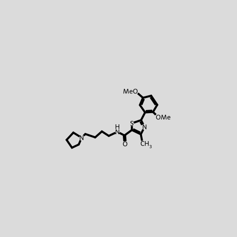 COc1ccc(OC)c(-c2nc(C)c(C(=O)NCCCCN3CCCC3)s2)c1